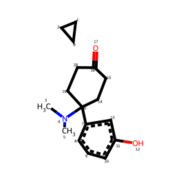 C1CC1.CN(C)C1(c2cccc(O)c2)CCC(=O)CC1